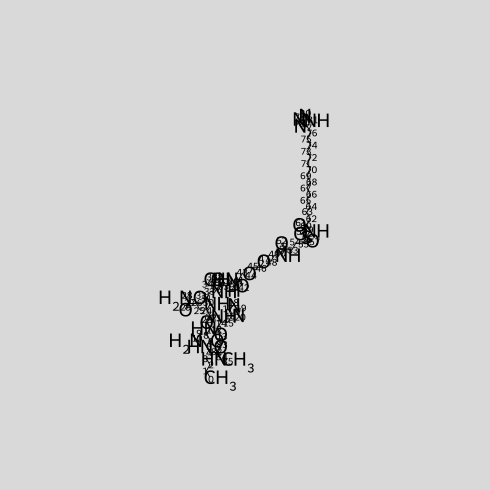 CCCC[C@H](NC(=O)[C@H](CN)NC(=O)[C@H](Cc1c[nH]cn1)NC(=O)[C@H](CCC(N)=O)NC(=O)[C@H](CO)NC(=O)CNC(=O)COCCOCCNC(=O)CCCS(=O)(=O)NC(=O)CCCCCCCCCCCCCCCc1nnn[nH]1)C(=O)NC